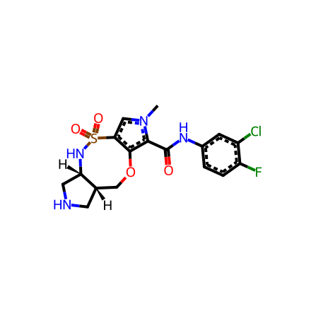 Cn1cc2c(c1C(=O)Nc1ccc(F)c(Cl)c1)OC[C@@H]1CNC[C@@H]1NS2(=O)=O